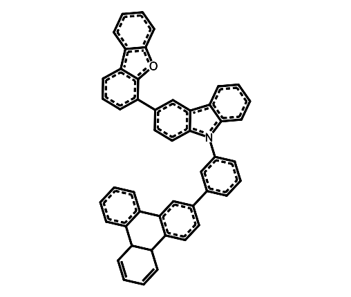 C1=CC2c3ccccc3-c3cc(-c4cccc(-n5c6ccccc6c6cc(-c7cccc8c7oc7ccccc78)ccc65)c4)ccc3C2C=C1